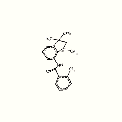 C[C@H]1CC(C)(C)c2cccc(NC(=O)c3ccccc3C(F)(F)F)c21